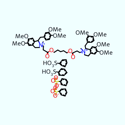 COc1ccc(CC2c3cc(OC)c(OC)cc3CC[N+]2(C)CCC(=O)OCCCCCOC(=O)CC[N+]2(C)CCc3cc(OC)c(OC)cc3C2Cc2ccc(OC)c(OC)c2)cc1OC.O=S(=O)(O)c1ccccc1.O=S(=O)(O)c1ccccc1.O=S(=O)([O-])c1ccccc1.O=S(=O)([O-])c1ccccc1